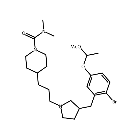 COC(C)Oc1ccc(Br)c(CC2CCN(CCCC3CCN(C(=O)N(C)C)CC3)C2)c1